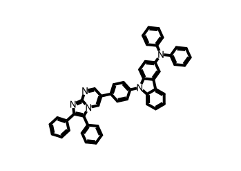 c1ccc(-c2nc3ncc(-c4ccc(-n5c6ccccc6c6cc(N(c7ccccc7)c7ccccc7)ccc65)cc4)cn3c2-c2ccccc2)cc1